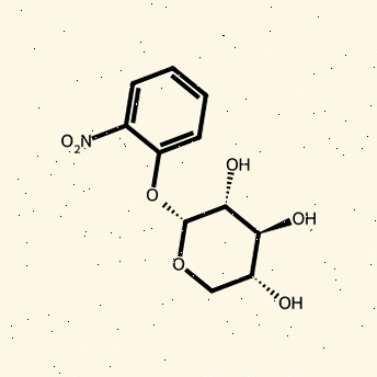 O=[N+]([O-])c1ccccc1O[C@H]1OC[C@@H](O)[C@H](O)[C@H]1O